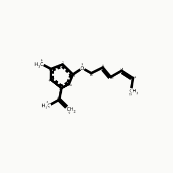 C=C(C)c1cc(C)cc(OC/C=C/C=C\C)c1